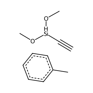 C#C[SiH](OC)OC.Cc1ccccc1